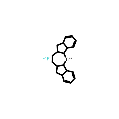 C1=CC2CC3CCC4CC5C=CC=CC5[CH]4[Ti+2][CH]3C2C=C1.[F-].[F-]